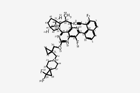 C#Cc1c(F)ccc2cccc(-c3nc4c5c(nc(OCC6(CN7CCC8(CC7)CC8(F)F)CC6)nc5c3F)N3C[C@H]5CC[C@H](N5)C3[C@@H](C)C4)c12